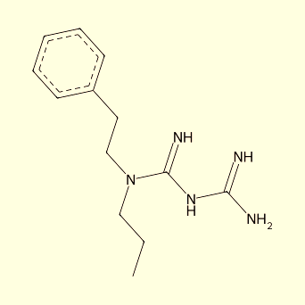 CCCN(CCc1ccccc1)C(=N)NC(=N)N